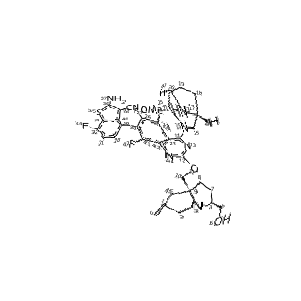 C=C1CN2[C@H](CO)CC[C@@]2(COc2nc(N3C[C@H]4CC[C@@H](C3)N4)c3c(OC)c(F)c(-c4ccc(F)c5sc(N)c(C#N)c45)c(F)c3n2)C1